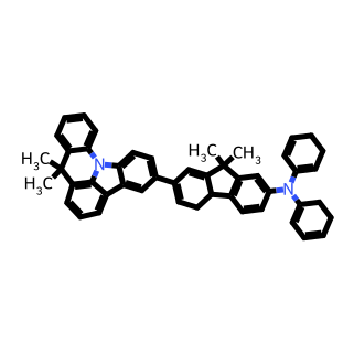 CC1(C)C2=CC(c3ccc4c(c3)c3cccc5c3n4-c3ccccc3C5(C)C)=CCC2c2ccc(N(C3=CCCC=C3)C3=CC=CCC3)cc21